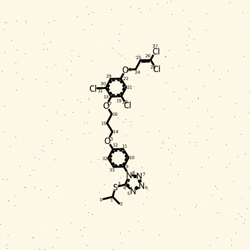 CC(C)Sc1nnnn1-c1ccc(OCCCOc2c(Cl)cc(OCC=C(Cl)Cl)cc2Cl)cc1